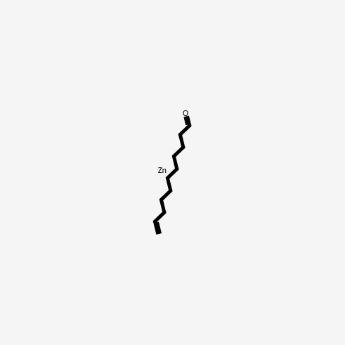 C=CCCCCCCCCC=O.[Zn]